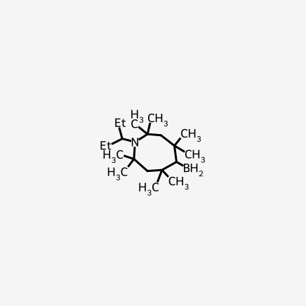 BC1C(C)(C)CC(C)(C)N(C(CC)CC)C(C)(C)CC1(C)C